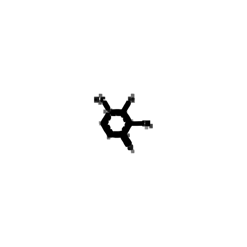 CCc1c(C)c(=O)ccn1C